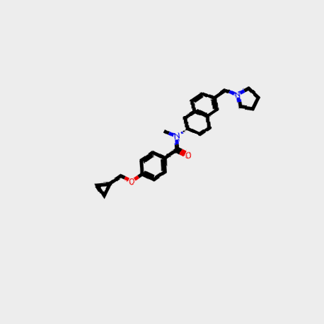 CN(C(=O)c1ccc(OCC2CC2)cc1)[C@H]1CCc2cc(CN3CCCC3)ccc2C1